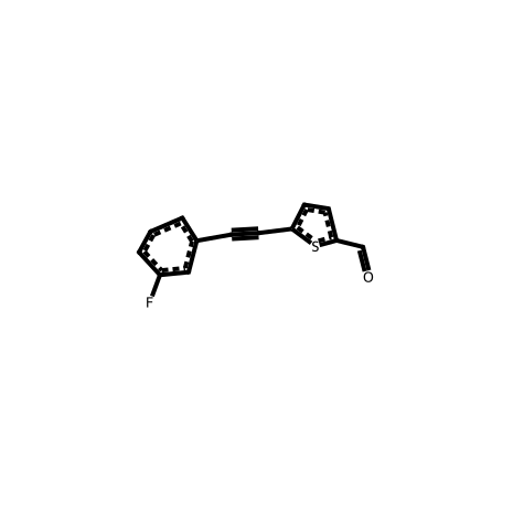 O=Cc1ccc(C#Cc2cccc(F)c2)s1